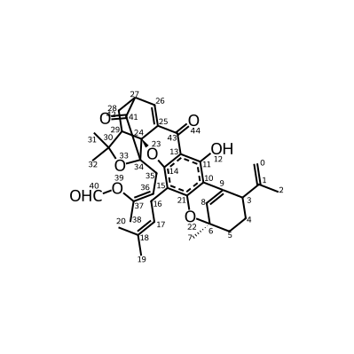 C=C(C)C1CC[C@]2(C)C=C1c1c(O)c3c(c(CC=C(C)C)c1O2)O[C@]12C(=CC4CC1C(C)(C)OC2(C/C=C(/C)OC=O)C4=O)C3=O